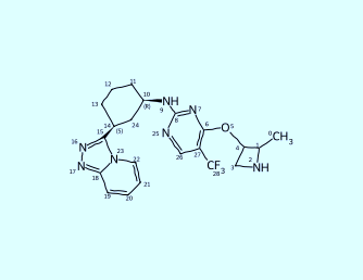 CC1NCC1Oc1nc(N[C@@H]2CCC[C@H](c3nnc4ccccn34)C2)ncc1C(F)(F)F